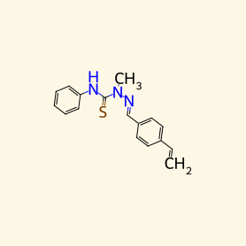 C=Cc1ccc(C=NN(C)C(=S)Nc2ccccc2)cc1